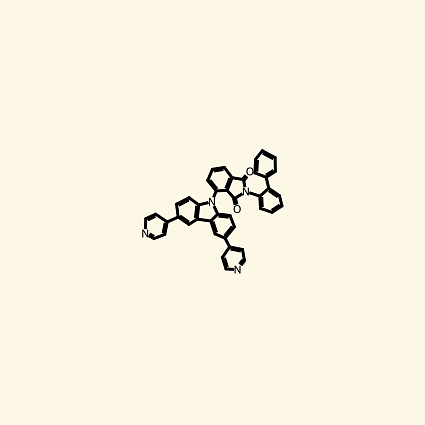 O=C1c2cccc(-n3c4ccc(-c5ccncc5)cc4c4cc(-c5ccncc5)ccc43)c2C(=O)N1c1ccccc1-c1ccccc1